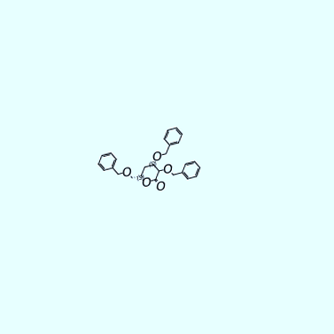 O=C1O[C@H](COCc2ccccc2)C[C@H](OCc2ccccc2)C1OCc1ccccc1